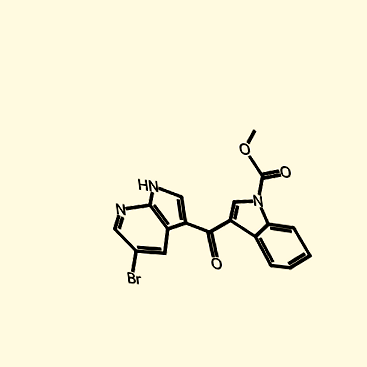 COC(=O)n1cc(C(=O)c2c[nH]c3ncc(Br)cc23)c2ccccc21